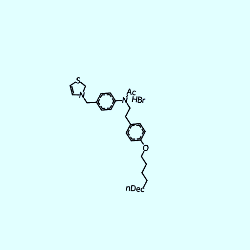 Br.CCCCCCCCCCCCCCOc1ccc(CCN(C(C)=O)c2ccc(CN3C=CSC3)cc2)cc1